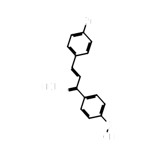 CSc1ccc(C(=O)/C=C/c2ccc(Br)cc2)cc1.Cl